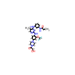 C=CC(=O)Nc1cccc(Nc2nc(Nc3ccc(N4CCN(C(=O)CO)CC4)cc3OC(F)F)ncc2C)c1